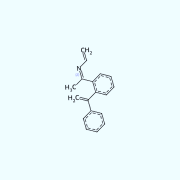 C=C/N=C(/C)c1ccccc1C(=C)c1ccccc1